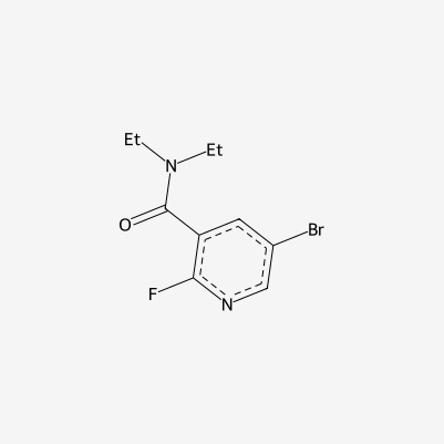 CCN(CC)C(=O)c1cc(Br)cnc1F